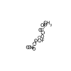 COC(=O)CC1COc2cc(O[C@@H]3CCc4c(Oc5ccc(C(=O)N6CCOCC6)cc5)ccc(F)c43)ccc21